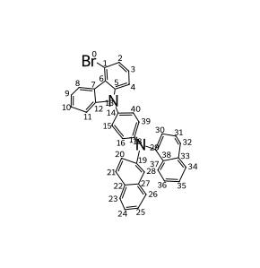 Brc1cccc2c1c1ccccc1n2-c1ccc(N(c2ccc3ccccc3c2)c2cccc3ccccc23)cc1